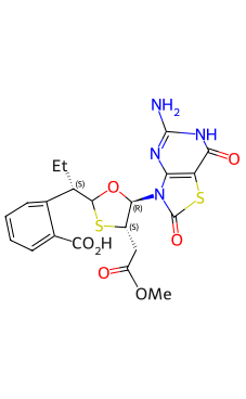 CC[C@@H](c1ccccc1C(=O)O)C1O[C@@H](n2c(=O)sc3c(=O)[nH]c(N)nc32)[C@H](CC(=O)OC)S1